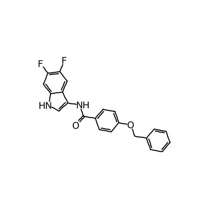 O=C(Nc1c[nH]c2cc(F)c(F)cc12)c1ccc(OCc2ccccc2)cc1